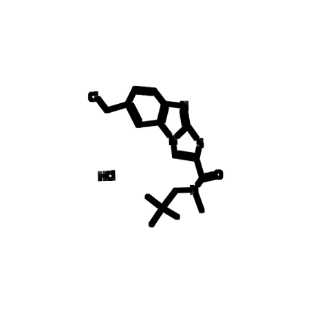 CN(CC(C)(C)C)C(=O)c1cn2c(nc3ccc(CCl)cc32)s1.Cl